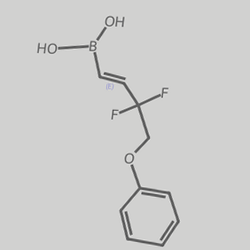 OB(O)/C=C/C(F)(F)COc1ccccc1